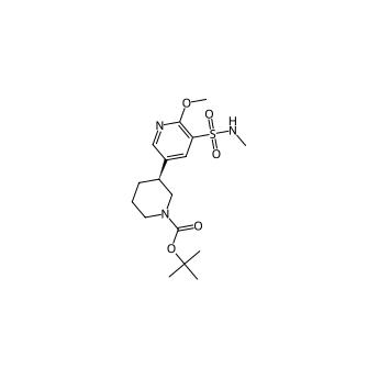 CNS(=O)(=O)c1cc([C@@H]2CCCN(C(=O)OC(C)(C)C)C2)cnc1OC